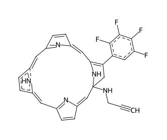 C#CCNC12C=C3C=CC(=N3)C=c3ccc([nH]3)=CC3=NC(=CC(=C(c4cc(F)c(F)c(F)c4F)C1)N2)C=C3